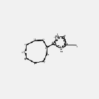 Cc1c[nH]c(C2CCCCCCCC2)p1